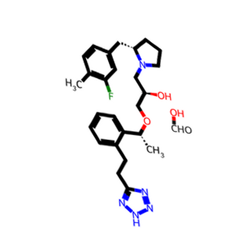 Cc1ccc(C[C@@H]2CCCN2C[C@@H](O)CO[C@H](C)c2ccccc2CCc2nn[nH]n2)cc1F.O=CO